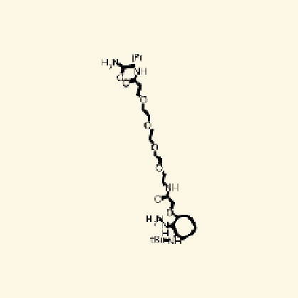 CC(C)[C@H](NC(=O)CCOCCOCCOCCOCCNC(=O)COC1CCCCC/C(NC(C)(C)C)=C\1NN)C(N)=O